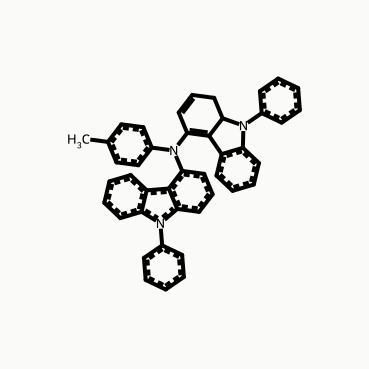 Cc1ccc(N(C2=C3c4ccccc4N(c4ccccc4)C3CC=C2)c2cccc3c2c2ccccc2n3-c2ccccc2)cc1